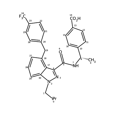 CC(C)Cn1nc(C(=O)N[C@@H](C)c2ccc(C(=O)O)cc2)c2c(Cc3ccc(C(F)(F)F)cc3)cccc21